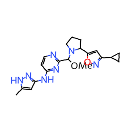 COC(c1nccc(Nc2cc(C)[nH]n2)n1)N1CCCC1c1cc(C2CC2)no1